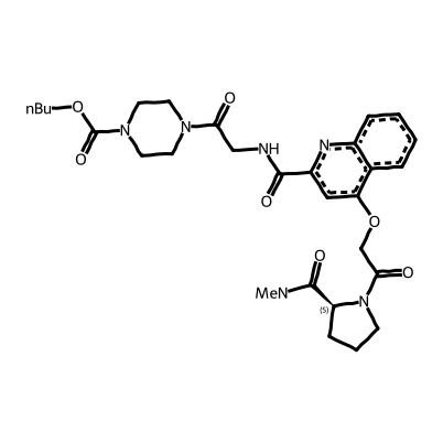 CCCCOC(=O)N1CCN(C(=O)CNC(=O)c2cc(OCC(=O)N3CCC[C@H]3C(=O)NC)c3ccccc3n2)CC1